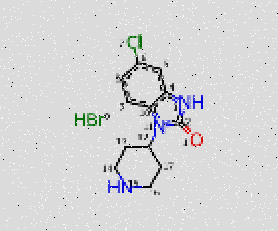 Br.O=c1[nH]c2cc(Cl)ccc2n1C1CCNCC1